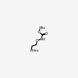 CCCCCCCCONC(=O)OC(C)(C)C